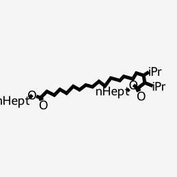 CCCCCCCOC(=O)CCCCCCCCCCCCCCCC(C(C)C)C(C(=O)OCCCCCCC)C(C)C